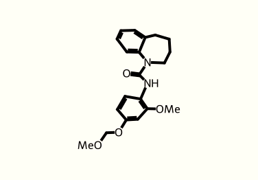 COCOc1ccc(NC(=O)N2CCCCc3ccccc32)c(OC)c1